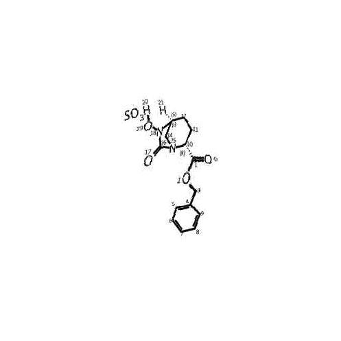 O=C(OCc1ccccc1)[C@H]1CC[C@H]2CN1C(=O)N2OS(=O)(=O)O